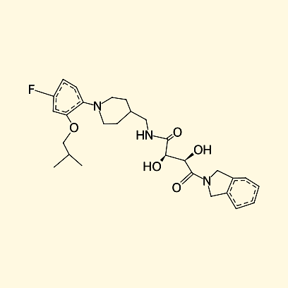 CC(C)COc1cc(F)ccc1N1CCC(CNC(=O)[C@H](O)[C@@H](O)C(=O)N2Cc3ccccc3C2)CC1